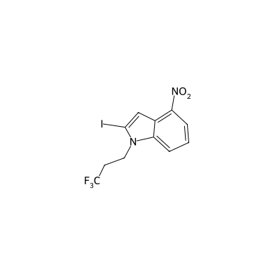 O=[N+]([O-])c1cccc2c1cc(I)n2CCC(F)(F)F